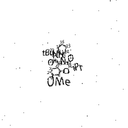 COc1ccc2c(c1)OC(C(C)C)C(=O)N(c1ccccc1)C2C(=O)NC(C)(C)C